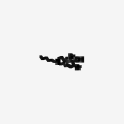 CCCCCCN1CC[C@](C)(c2ccc(Br)c(O)c2Br)[C@@H](C)C1